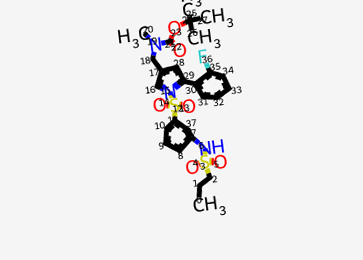 CCCS(=O)(=O)Nc1cccc(S(=O)(=O)n2cc(CN(C)C(=O)OC(C)(C)C)cc2-c2ccccc2F)c1